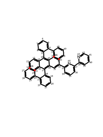 c1ccc(-c2ccccc2-c2c3ccccc3c(-c3ccccc3-c3ccccc3)c3cc(-c4cccc(-c5ccccn5)n4)ccc23)cc1